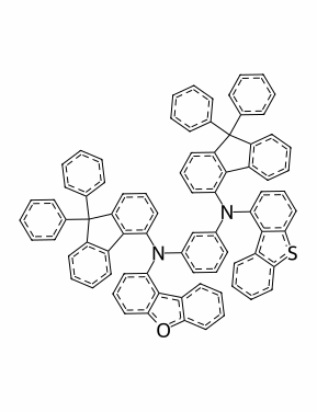 c1ccc(C2(c3ccccc3)c3ccccc3-c3c(N(c4cccc(N(c5cccc6c5-c5ccccc5C6(c5ccccc5)c5ccccc5)c5cccc6sc7ccccc7c56)c4)c4cccc5oc6ccccc6c45)cccc32)cc1